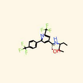 CCC(CC)N[C@H](CO)c1cc(-c2ccc(C(F)(F)F)cc2)nc(C(F)(F)F)c1